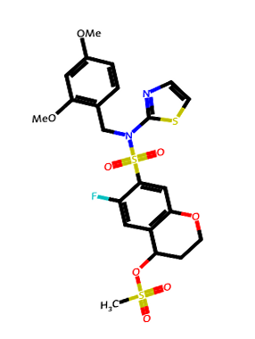 COc1ccc(CN(c2nccs2)S(=O)(=O)c2cc3c(cc2F)C(OS(C)(=O)=O)CCO3)c(OC)c1